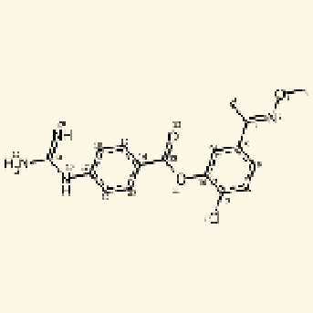 CO/N=C(\C)c1ccc(Cl)c(OC(=O)c2ccc(NC(=N)N)cc2)c1